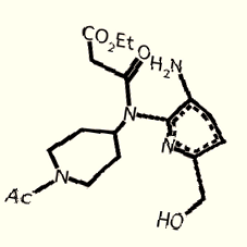 CCOC(=O)CC(=O)N(c1nc(CO)ccc1N)C1CCN(C(C)=O)CC1